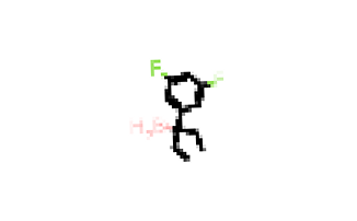 BC(CC)(CC)c1cc(F)cc(F)c1